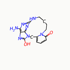 Nc1nc2nc3c1nc(O)n3Cc1cccc(=O)n1CCCCN2